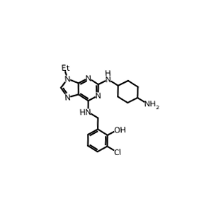 CCn1cnc2c(NCc3cccc(Cl)c3O)nc(NC3CCC(N)CC3)nc21